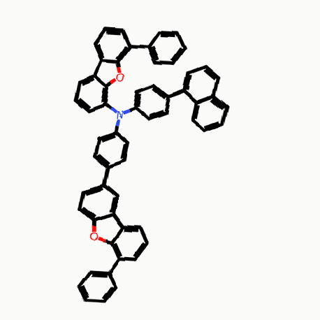 c1ccc(-c2cccc3c2oc2ccc(-c4ccc(N(c5ccc(-c6cccc7ccccc67)cc5)c5cccc6c5oc5c(-c7ccccc7)cccc56)cc4)cc23)cc1